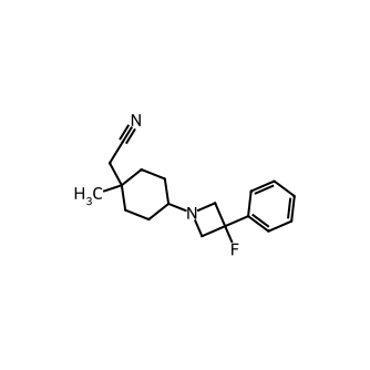 CC1(CC#N)CCC(N2CC(F)(c3ccccc3)C2)CC1